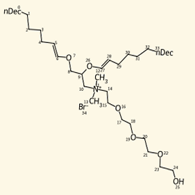 CCCCCCCCCCCCCCC=COCC(C[N+](C)(C)CCOCCOCCOCCO)OC=CCCCCCCCCCCCCCC.[Br-]